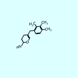 CCCC1CCC(Cc2ccc(C)c(C)c2C)=CO1